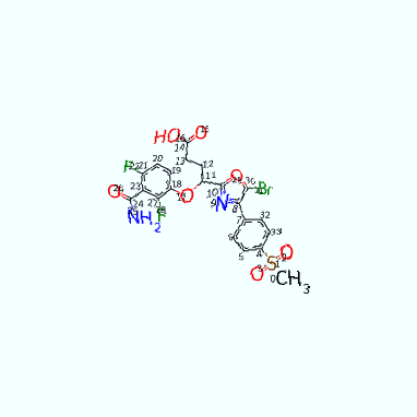 CS(=O)(=O)c1ccc(-c2nc(C(CCC(=O)O)Oc3ccc(F)c(C(N)=O)c3F)oc2Br)cc1